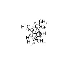 CCOC(=O)c1c(C(C)(C)C)c[nH]c1N1CCC(C)C1=O